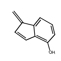 C=C1C=Cc2c(O)cccc21